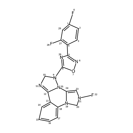 Fc1ccc(-c2noc(N3CN=C4c5ccccc5N5CN(F)C=C5N43)n2)c(F)c1